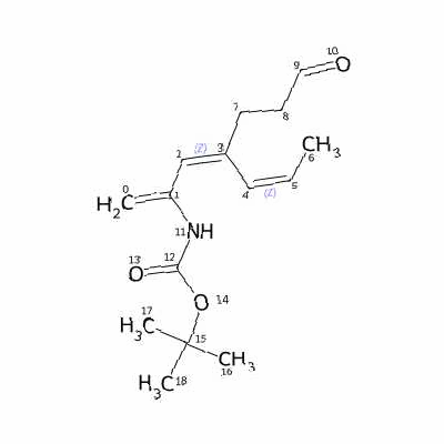 C=C(/C=C(\C=C/C)CCC=O)NC(=O)OC(C)(C)C